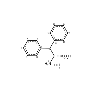 Cl.N[C@@H](C(=O)O)C(c1ccccc1)c1ccccc1